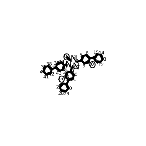 O=c1nc(-c2ccc3c(c2)oc2ccccc23)nc(-c2ccc3c(c2)oc2ccccc23)n1-c1ccc(-c2ccccc2)cc1